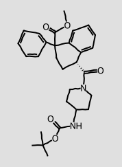 COC(=O)C1(c2ccccc2)CC[C@@H](C(=O)N2CCC(NC(=O)OC(C)(C)C)CC2)c2ccccc21